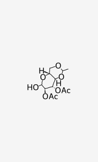 CC(=O)O[C@H]1[C@@H]2OC(C)OC[C@H]2OC(O)[C@@H]1OC(C)=O